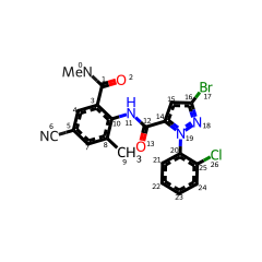 CNC(=O)c1cc(C#N)cc(C)c1NC(=O)c1cc(Br)nn1-c1ccccc1Cl